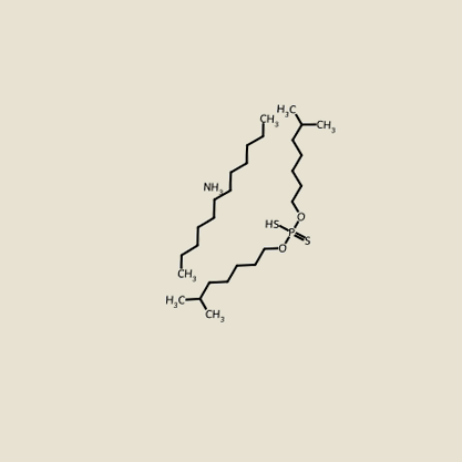 CC(C)CCCCCOP(=S)(S)OCCCCCC(C)C.CCCCCCCCCCCC.N